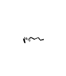 C=[CH][Mg][CH2]CCCC